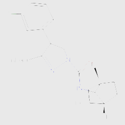 CCCCCC1=NN(C(=O)N[C@@]2(C)[C@H]3CC[C@]2(C)CC3)CC1c1cccc(F)c1